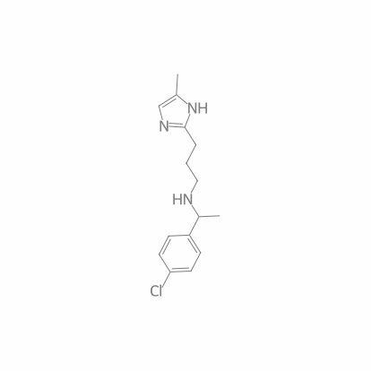 Cc1cnc(CCCNC(C)c2ccc(Cl)cc2)[nH]1